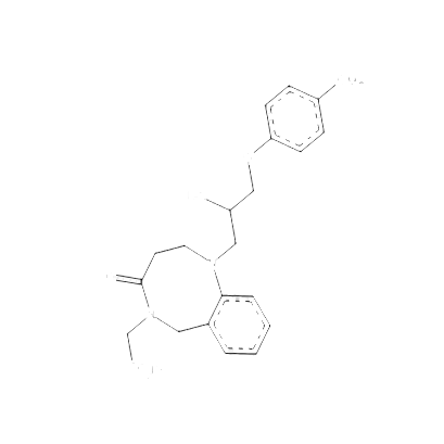 CCOC(=O)CN1Cc2ccccc2N(CC(O)COc2ccc(OC)cc2)CCC1=O